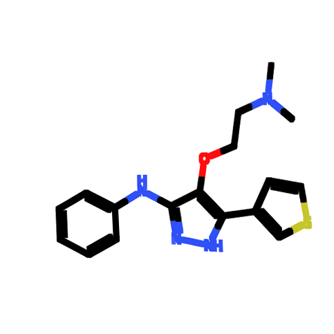 CN(C)CCOc1c(Nc2ccccc2)n[nH]c1-c1ccsc1